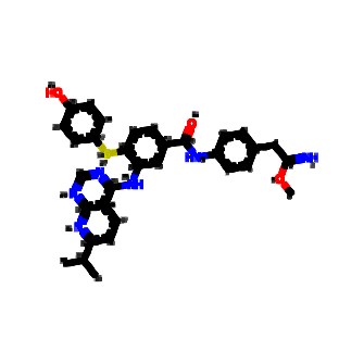 COC(=N)Cc1ccc(NC(=O)c2ccc(Sc3ccc(O)cc3)c(Nc3ncnc4nc(C(C)C)ccc34)c2)cc1